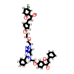 O=c1cc(-c2ccccc2)oc2cc(OCCN(Cc3ccccc3)Cc3cn(CCOCCOc4ccc(-c5cc(=O)c6cc(F)ccc6o5)cc4)nn3)ccc12